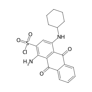 Nc1c(S(=O)(=O)Cl)cc(NC2CCCCC2)c2c1C(=O)c1ccccc1C2=O